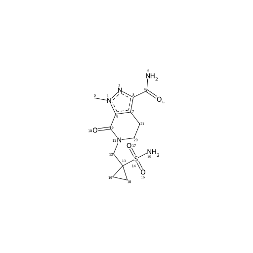 Cn1nc(C(N)=O)c2c1C(=O)N(CC1(S(N)(=O)=O)CC1)CC2